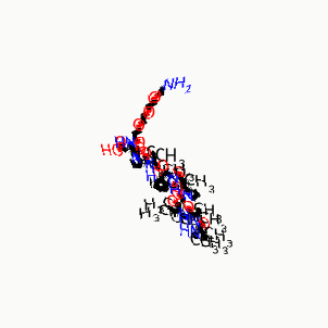 CC[C@H](C)[C@@H]([C@@H](CC(=O)N1CCC[C@H]1[C@H](OC)[C@@H](C)C(=O)N[C@H](C)[C@@H](OC(=O)[C@@H](NC(=O)[C@@H]1CCCN1C(=O)[C@H](CC(=O)O)NC(=O)CCOCCOCCOCCN)C(C)C)c1ccccc1)OC)N(C)C(=O)[C@@H](NC(=O)[C@@H](NC)C(C)C)C(C)C